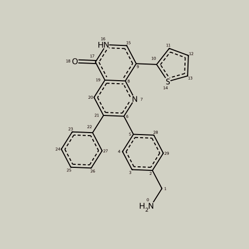 NCc1ccc(-c2nc3c(-c4cccs4)c[nH]c(=O)c3cc2-c2ccccc2)cc1